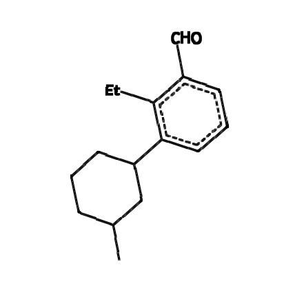 CCc1c(C=O)cccc1C1CCCC(C)C1